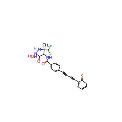 CC(N)(C(F)F)C(NC(=O)c1ccc(C#CC#CC2=CC=CCC2=S)cc1)C(=O)NO